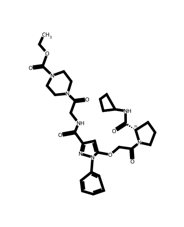 CCOC(=O)N1CCN(C(=O)CNC(=O)c2cc(OCC(=O)N3CCC[C@H]3C(=O)NC3CCC3)n(-c3ccccc3)n2)CC1